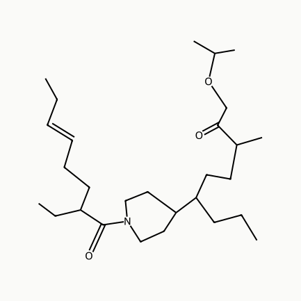 CC/C=C/CCC(CC)C(=O)N1CCC(C(CCC)CCC(C)C(=O)COC(C)C)CC1